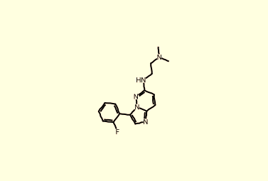 CN(C)CCNc1ccc2ncc(-c3ccccc3F)n2n1